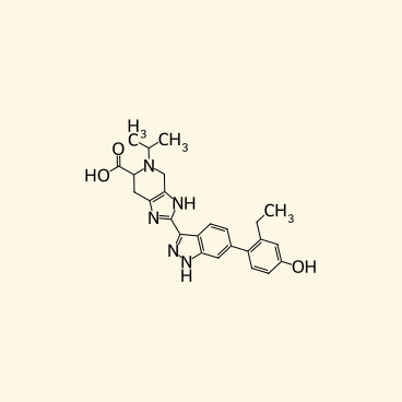 CCc1cc(O)ccc1-c1ccc2c(-c3nc4c([nH]3)CN(C(C)C)C(C(=O)O)C4)n[nH]c2c1